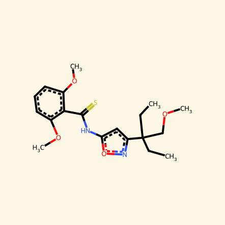 CCC(CC)(COC)c1cc(NC(=S)c2c(OC)cccc2OC)on1